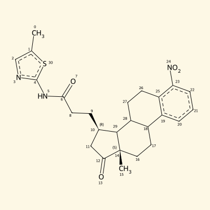 Cc1cnc(NC(=O)CC[C@@H]2CC(=O)[C@@]3(C)CCC4c5cccc([N+](=O)[O-])c5CCC4C23)s1